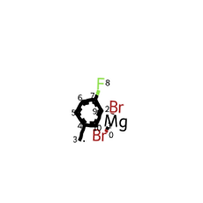 [Br][Mg][Br].[CH2]c1ccc(F)cc1